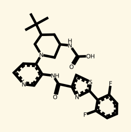 CC(C)(C)C1CC(NC(=O)O)CN(c2ccncc2NC(=O)c2csc(-c3c(F)cccc3F)n2)C1